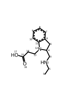 CCNCC1Cc2ccccc2N1CCC(=O)O